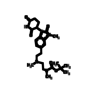 CN(CCc1ccc2c(c1)n(C)c(=O)n2C1CCC(=O)NC1=O)CCN(C)C(=O)OC(C)(C)C